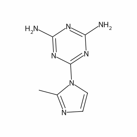 Cc1nccn1-c1nc(N)nc(N)n1